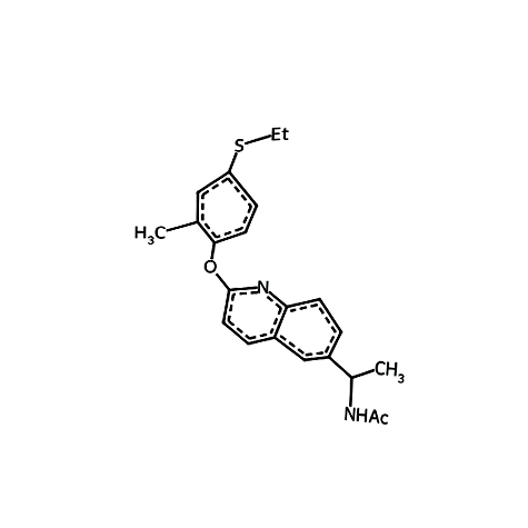 CCSc1ccc(Oc2ccc3cc(C(C)NC(C)=O)ccc3n2)c(C)c1